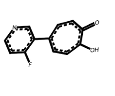 O=c1ccc(-c2cnccc2F)ccc1O